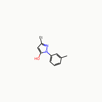 CCc1cc(O)n(-c2cccc(C)c2)n1